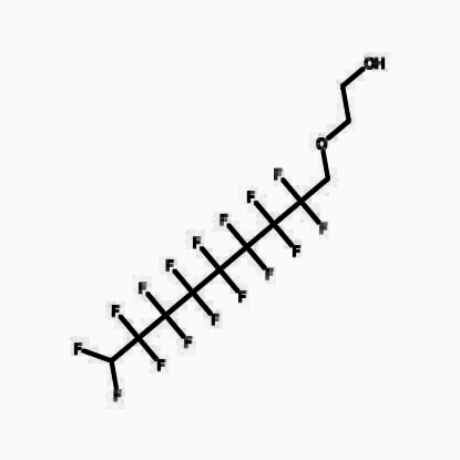 OCCOCC(F)(F)C(F)(F)C(F)(F)C(F)(F)C(F)(F)C(F)(F)C(F)(F)C(F)F